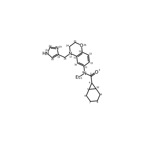 CCN(C(=O)C1C2CCCCC21)c1ccc2c(c1)N(Cc1c[nH]cn1)CCO2